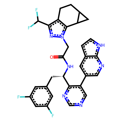 O=C(Cn1nc(C(F)F)c2c1C1CC1CC2)N[C@@H](Cc1cc(F)cc(F)c1)c1ncncc1-c1cnc2[nH]ccc2c1